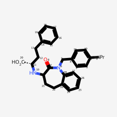 CC(C)c1ccc(CN2C(=O)C(N[C@@H](CCc3ccccc3)C(=O)O)CCc3ccccc32)cc1